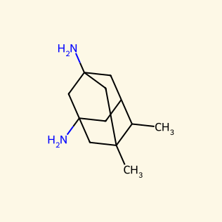 CC1C2CC3(N)CC(N)(C2)CC1(C)C3